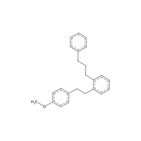 COc1ccc(CCc2[c]cccc2CCCc2ccccc2)cc1